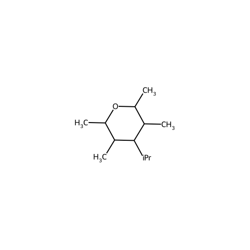 CC(C)C1C(C)C(C)OC(C)C1C